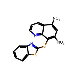 O=[N+]([O-])c1cc([N+](=O)[O-])c2cccnc2c1Sc1nc2ccccc2s1